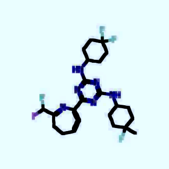 CC1(F)CCC(Nc2nc(NC3CCC(F)(F)CC3)nc(C3=C=CCCC(C(F)I)=N3)n2)CC1